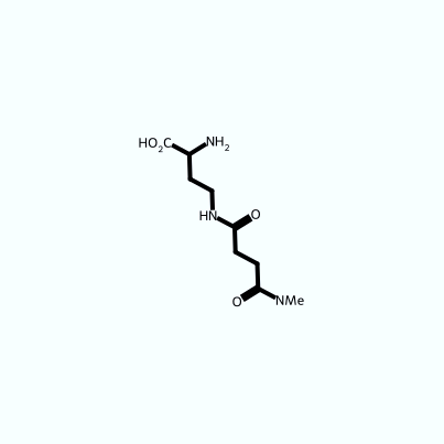 CNC(=O)CCC(=O)NCCC(N)C(=O)O